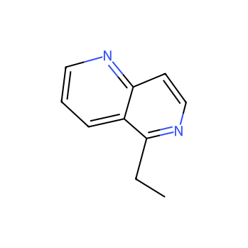 CCc1nccc2ncccc12